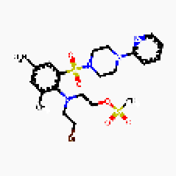 Cc1cc([N+](=O)[O-])cc(S(=O)(=O)N2CCN(c3ccccn3)CC2)c1N(CCBr)CCOS(C)(=O)=O